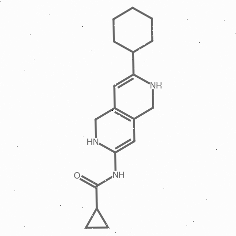 O=C(NC1=CC2=C(C=C(C3CCCCC3)NC2)CN1)C1CC1